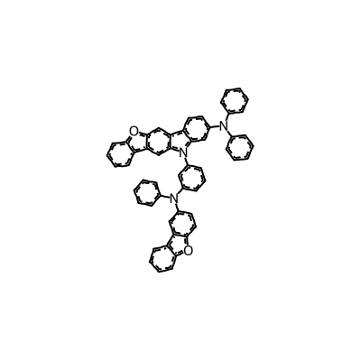 c1ccc(N(c2cccc(-n3c4cc(N(c5ccccc5)c5ccccc5)ccc4c4cc5oc6ccccc6c5cc43)c2)c2ccc3oc4ccccc4c3c2)cc1